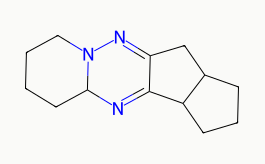 C1CC2CC3=NN4CCCCC4N=C3C2C1